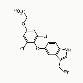 CC(C)Cc1c[nH]c2ccc(Oc3c(Cl)cc(OCC(=O)O)cc3Cl)cc12